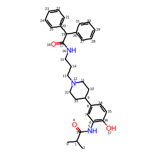 CC(C)C(=O)Nc1cc(C2CCN(CCCNC(=O)C(c3ccccc3)c3ccccc3)CC2)ccc1O